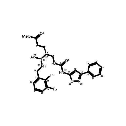 COC(=O)CC[C@@H](COC(=O)Nc1cc(-c2ccccc2)no1)N(NCc1cccc(F)c1F)C(C)=O